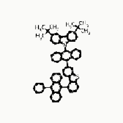 CC(C)(C)c1ccc2c(c1)c1cc(C(C)(C)C)ccc1n2-c1c2ccccc2c(-c2ccc3c(c2)sc2cccc(-c4c5ccccc5c(-c5ccccc5)c5ccccc45)c23)c2ccccc12